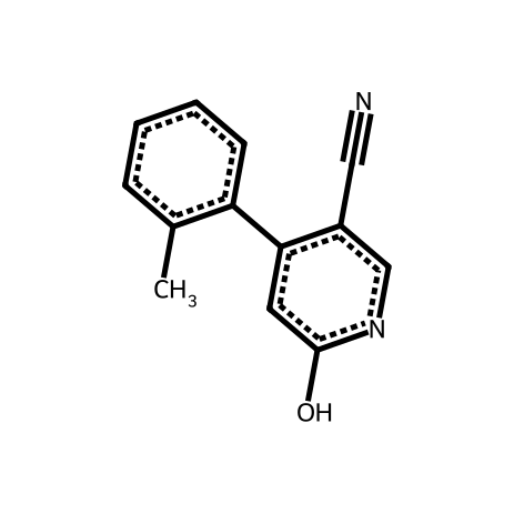 Cc1ccccc1-c1cc(O)ncc1C#N